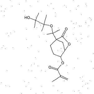 C=C(C)C(=O)OC1CCC2(C(C)(C)OC(C)(C)C(C)(C)O)CC1OC2=O